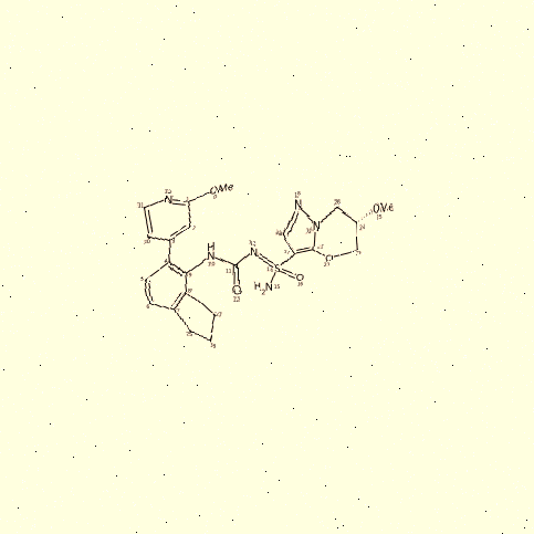 COc1cc(-c2ccc3c(c2NC(=O)N=S(N)(=O)c2cnn4c2OC[C@@H](OC)C4)CCC3)ccn1